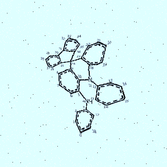 c1ccc(Nc2cccc3c2N(c2ccccc2)c2ccccc2C32c3ccccc3-c3ccccc32)cc1